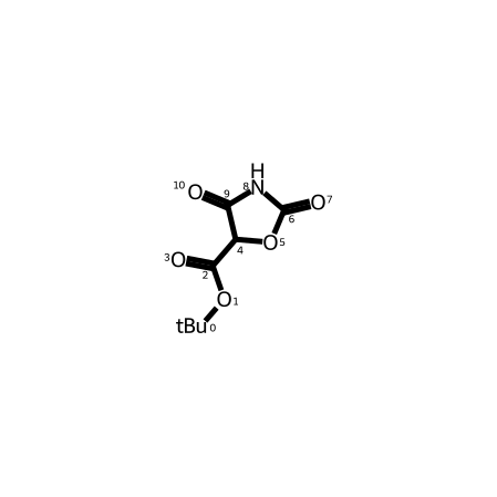 CC(C)(C)OC(=O)C1OC(=O)NC1=O